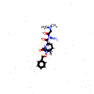 CN(C)CC(=O)N(N)C(=O)[C@H]1CC[C@H]2CN1C(=O)N2OCc1ccccc1